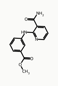 COC(=O)c1cccc(Nc2ncccc2C(N)=O)c1